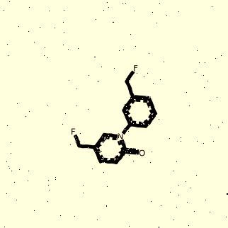 O=c1ccc(CF)cn1-c1cccc(CF)c1